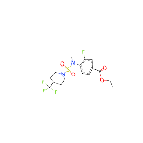 CCOC(=O)c1ccc(N(C)S(=O)(=O)N2CCC(C(F)(F)F)CC2)c(F)c1